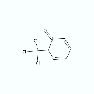 O=C1C=CC=CC1C(Cl)(Cl)Cl